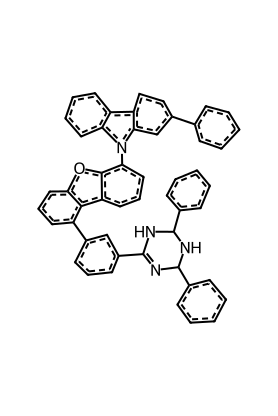 c1ccc(-c2ccc3c4ccccc4n(-c4cccc5c4oc4cccc(-c6cccc(C7=NC(c8ccccc8)NC(c8ccccc8)N7)c6)c45)c3c2)cc1